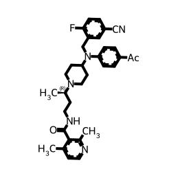 CC(=O)c1ccc(N(Cc2cc(C#N)ccc2F)C2CCN([C@H](C)CCNC(=O)c3c(C)ccnc3C)CC2)cc1